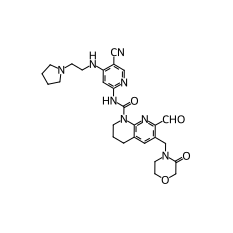 N#Cc1cnc(NC(=O)N2CCCc3cc(CN4CCOCC4=O)c(C=O)nc32)cc1NCCN1CCCC1